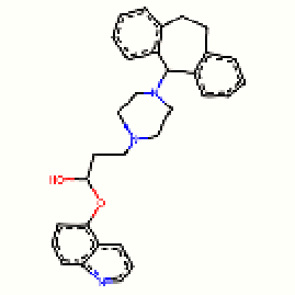 OC(CCN1CCN(C2c3ccccc3CCc3ccccc32)CC1)Oc1cccc2ncccc12